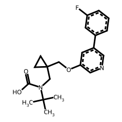 CC(C)(C)N(CC1(COc2cncc(-c3cccc(F)c3)c2)CC1)C(=O)O